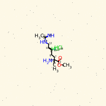 COC(=O)C(C)(N)CCC(F)=CCNC(C)=N.Cl.Cl